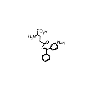 NC(CCC(=O)N=C(c1ccccc1)c1ccccc1)C(=O)O.[NaH]